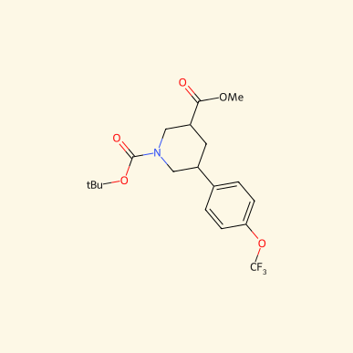 COC(=O)C1CC(c2ccc(OC(F)(F)F)cc2)CN(C(=O)OC(C)(C)C)C1